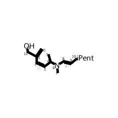 C=C(/C=C\C(C)N(C)/C=C/C(C)CCC)CO